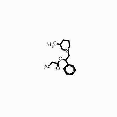 CC(=O)CC(=O)OC(CN1CCCC(C)C1)c1ccccc1